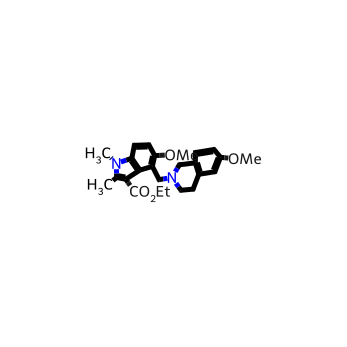 CCOC(=O)c1c(C)n(C)c2ccc(OC)c(CN3CCc4cc(OC)ccc4C3)c12